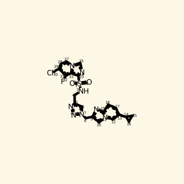 O=S(=O)(NCc1cn(Cc2cn3cc(C4CC4)ccc3n2)nn1)c1ncn2ccc(Cl)c(F)c12